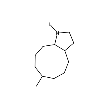 CC1CCCC2CCN(I)C2CCC1